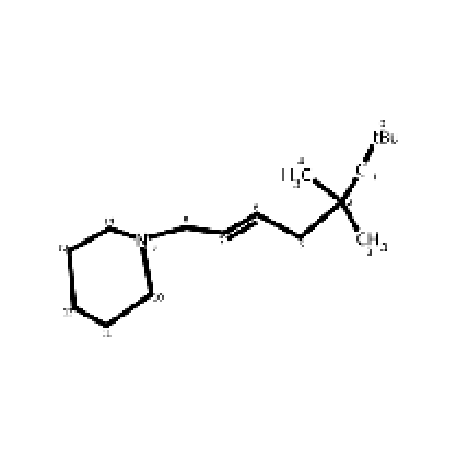 CC(C)(C)CC(C)(C)CC=CCN1CCCCC1